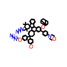 COc1ccc(C2(c3ccc(OCN=[N+]=[N-])cc3)C=Cc3c4c(c5cc(OC67CC8CC(CC(C8)C6)C7)c(-c6ccc(N7CCOCC7)cc6)cc5c3CC2)-c2ccccc2C42CC(C)(C)CC(C)(CN=[N+]=[N-])C2)cc1